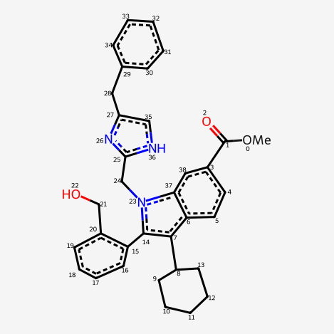 COC(=O)c1ccc2c(C3CCCCC3)c(-c3ccccc3CO)n(Cc3nc(Cc4ccccc4)c[nH]3)c2c1